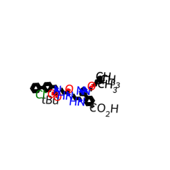 CC(C)(C)OC(=O)N(CCC(=O)NCCCNc1cc(C(=O)O)ccc1-c1cncn1COCC[Si](C)(C)C)Cc1ccc(-c2ccccc2)c(Cl)c1